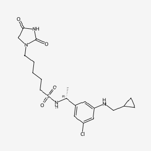 C[C@@H](NS(=O)(=O)CCCCCN1CC(=O)NC1=O)c1cc(Cl)cc(NCC2CC2)c1